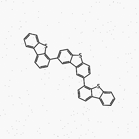 c1ccc2c(c1)sc1c(-c3ccc4sc5ccc(-c6cccc7c6sc6ccccc67)cc5c4c3)cccc12